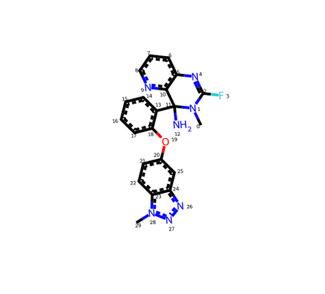 CN1C(F)=Nc2cccnc2C1(N)c1ccccc1Oc1ccc2c(c1)nnn2C